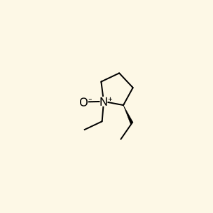 CC[C@@H]1CCC[N+]1([O-])CC